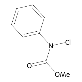 COC(=O)N(Cl)c1ccccc1